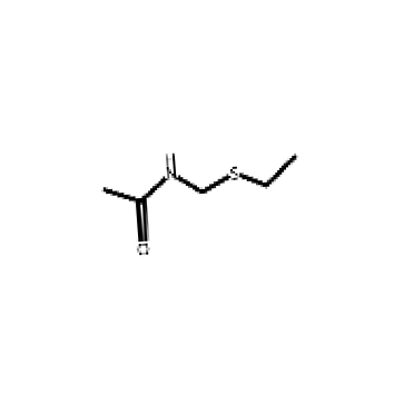 CCSCNC(C)=O